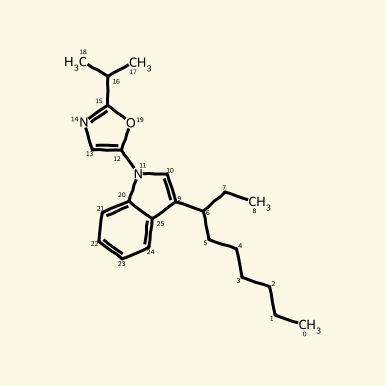 CCCCCCC(CC)c1cn(-c2cnc(C(C)C)o2)c2ccccc12